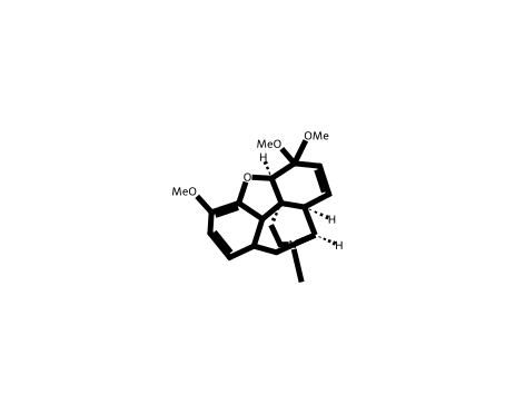 COC1=C2O[C@H]3C(OC)(OC)C=C[C@H]4[C@H]5CC(C=C1)C2[C@]43CCN5C